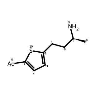 CC(=O)c1ccc(CC[C@H](C)N)s1